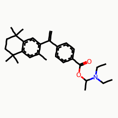 C=C(c1ccc(C(=O)OC(C)N(CC)CC)cc1)c1cc2c(cc1C)C(C)(C)CCC2(C)C